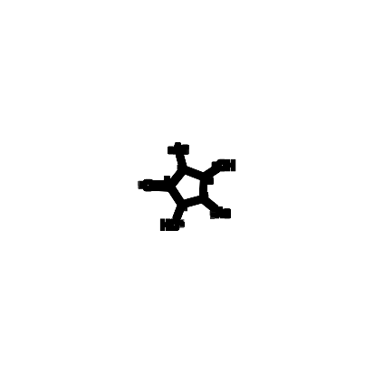 CC(=O)C1C(=O)C(O)C(C(C)=O)C1O